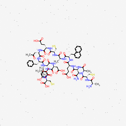 CC(=O)C[C@H](NC(=O)[C@H](CCC(=O)O)NC(=O)[C@H](CS)NC(=O)[C@@H](C)NC(=O)[C@H](Cc1cccc2ccccc12)NC(=O)[C@H](CCC(=O)O)NC(=O)[C@H](CC(N)=O)NC(=O)[C@@H](C)NC(=O)[C@H](CS)NC(=O)[C@H](C)N)C(=O)N[C@@H](Cc1ccccc1)C(=O)N[C@@H](Cc1ccc(O)cc1)C(=O)N[C@@H](CC(=O)O)C(=O)N[C@H](C(=O)N[C@@H](CS)C(=O)O)C(C)(C)C